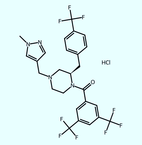 Cl.Cn1cc(CN2CCN(C(=O)c3cc(C(F)(F)F)cc(C(F)(F)F)c3)[C@H](Cc3ccc(C(F)(F)F)cc3)C2)cn1